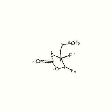 CCC1(F)SC(=O)OC1F